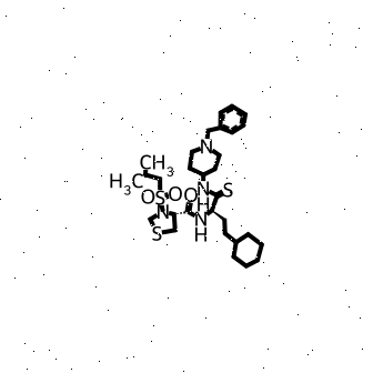 CC(C)CS(=O)(=O)N1CSC[C@H]1C(=O)N[C@H](CCC1CCCCC1)C(=S)NC1CCN(Cc2ccccc2)CC1